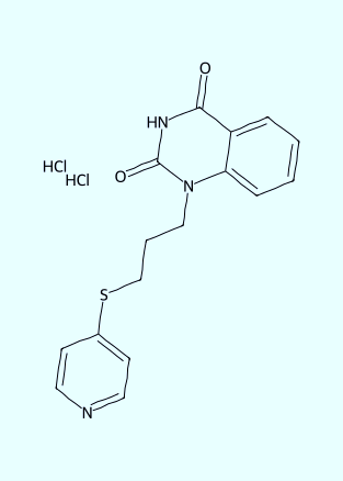 Cl.Cl.O=c1[nH]c(=O)n(CCCSc2ccncc2)c2ccccc12